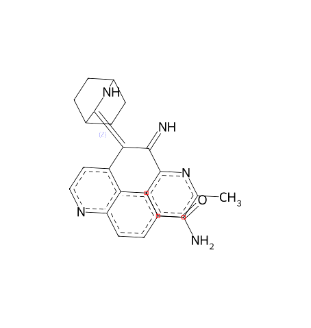 Cc1cccc(C(=N)/C(=C2\NC3CCC2CC3)c2ccnc3ccc(C(N)=O)cc23)n1